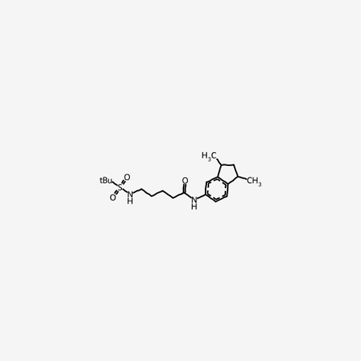 CC1CC(C)c2cc(NC(=O)CCCCNS(=O)(=O)C(C)(C)C)ccc21